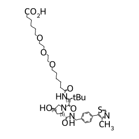 Cc1ncsc1-c1ccc(CNC(=O)[C@@H]2C[C@@H](O)CN2C(=O)[C@@H](NC(=O)CCCCCOCCOCCOCCCCCC(=O)O)C(C)(C)C)cc1